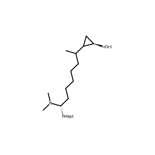 CCCCCCCC[C@@H]1CC1C(C)CCCCC[C@H](CCCCCCC)N(C)C